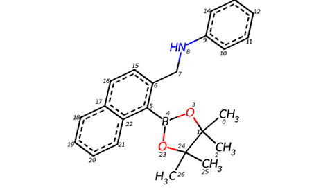 CC1(C)OB(c2c(CNc3ccccc3)ccc3ccccc23)OC1(C)C